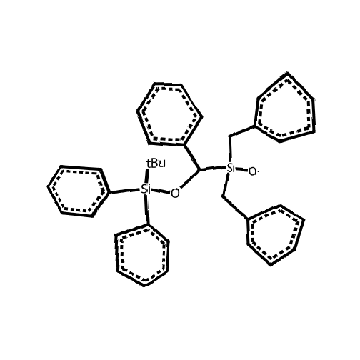 CC(C)(C)[Si](OC(c1ccccc1)[Si]([O])(Cc1ccccc1)Cc1ccccc1)(c1ccccc1)c1ccccc1